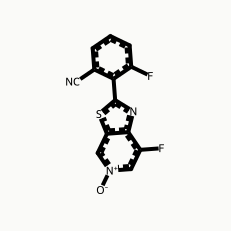 N#Cc1cccc(F)c1-c1nc2c(F)c[n+]([O-])cc2s1